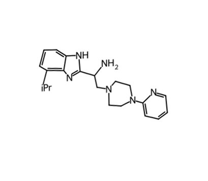 CC(C)c1cccc2[nH]c(C(N)CN3CCN(c4ccccn4)CC3)nc12